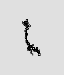 Nc1nccn2c(N3CCC4(CC3)CN(CCOCCOCCOc3ccc5c(c3)CN(C3CCC(=O)NC3=O)C5=O)C4)nc(-c3ccc(C(=O)Nc4cc(Cl)ccn4)cc3F)c12